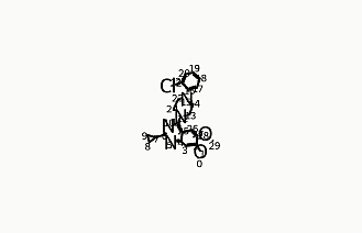 COc1cc2nc(C3CC3)nc(N3CCN(c4ccccc4Cl)CC3)c2cc1OC